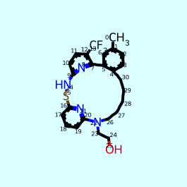 Cc1ccc2c(c1)-c1nc(ccc1C(F)(F)F)NSc1cccc(n1)N(CCO)CCCCC2